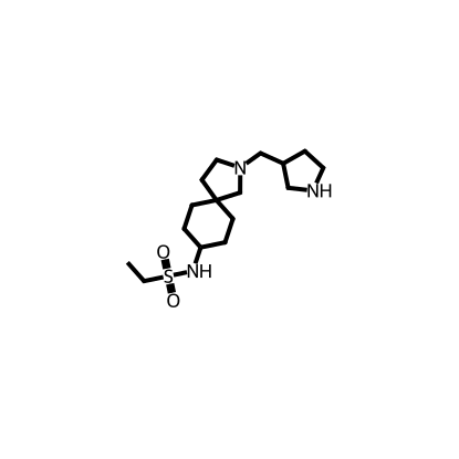 CCS(=O)(=O)NC1CCC2(CC1)CCN(CC1CCNC1)C2